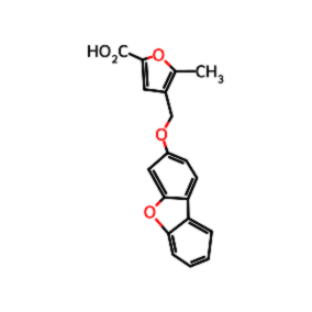 Cc1oc(C(=O)O)cc1COc1ccc2c(c1)oc1ccccc12